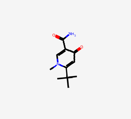 Cn1cc(C(N)=O)c(=O)cc1C(C)(C)C